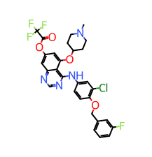 CN1CCC(Oc2cc(OC(=O)C(F)(F)F)cc3ncnc(Nc4ccc(OCc5cccc(F)c5)c(Cl)c4)c23)CC1